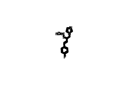 CCCCCCCCCCSC(C=Cc1ccc(F)cc1)Cn1ccnc1